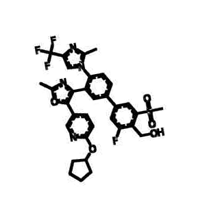 Cc1nc(-c2cc(-c3cc(F)c(CO)c(S(C)(=O)=O)c3)ccc2-n2cc(C(F)(F)F)nc2C)c(-c2ccc(OC3CCCC3)nc2)o1